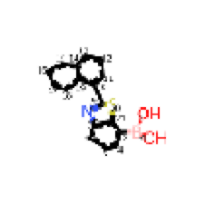 OB(O)c1cccc2nc(-c3cccc4ccccc34)sc12